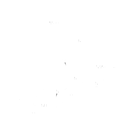 C=C[C@@H]1C[C@]1(NC(=O)[C@@H]1C[C@@H](Oc2cc(-c3ccccc3)nc3cc(OC)ccc23)CN1C(=O)[C@H](CNC)NC(=O)OC(C)(C)C)C(=O)NS(=O)(=O)C1CC1